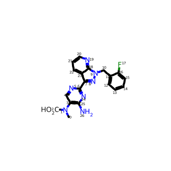 CN(C(=O)O)c1cnc(-c2nn(Cc3ccccc3F)c3ncccc23)nc1N